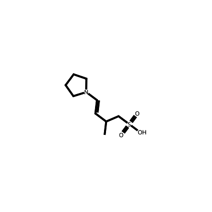 CC(C=CN1CCCC1)CS(=O)(=O)O